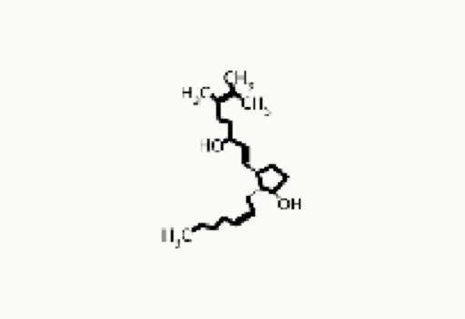 CCCC/C=C\C[C@H]1[C@@H](O)CC[C@@H]1/C=C/C(O)CCC(C)=C(C)C